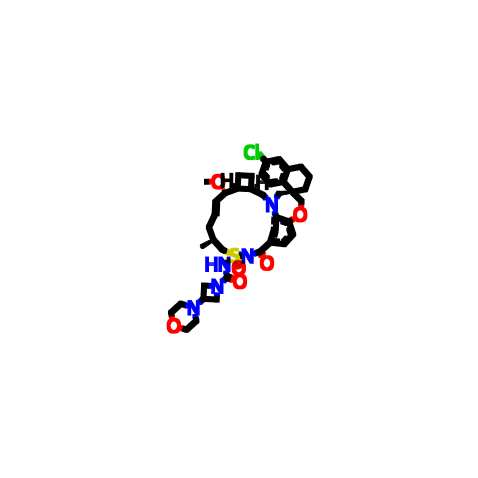 CO[C@H]1/C=C/C[C@H](C)CS(=O)(NC(=O)N2CC(N3CCOCC3)C2)=NC(=O)c2ccc3c(c2)N(C[C@@H]2CC[C@H]21)C[C@@]1(CCCc2cc(Cl)ccc21)CO3